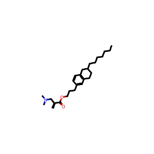 C=C(CN(C)C)C(=O)OCCCc1ccc2c(c1)CCC(CCCCCCC)C2